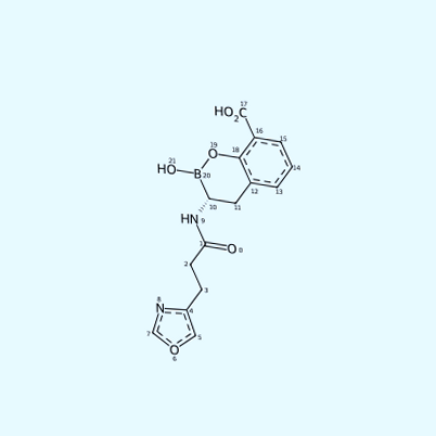 O=C(CCc1cocn1)N[C@H]1Cc2cccc(C(=O)O)c2OB1O